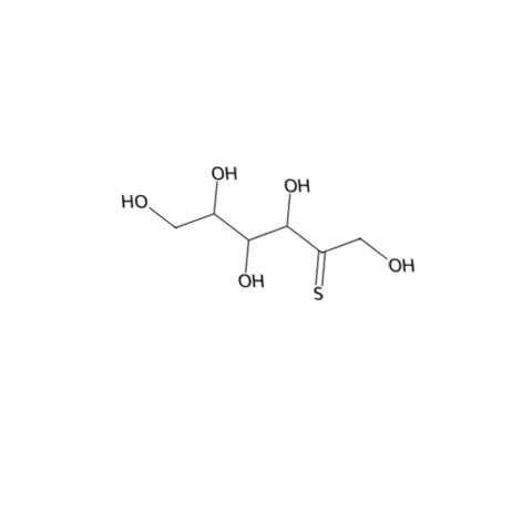 OCC(=S)C(O)C(O)C(O)CO